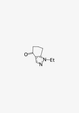 CCn1ncc2c1CCCC2=O